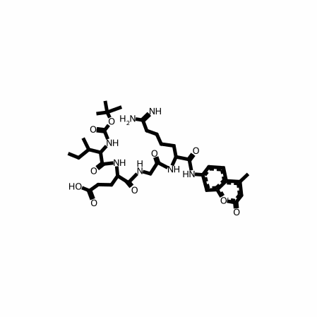 CCC(C)C(NC(=O)OC(C)(C)C)C(=O)NC(CCC(=O)O)C(=O)NCC(=O)NC(CCCCC(=N)N)C(=O)Nc1ccc2c(C)cc(=O)oc2c1